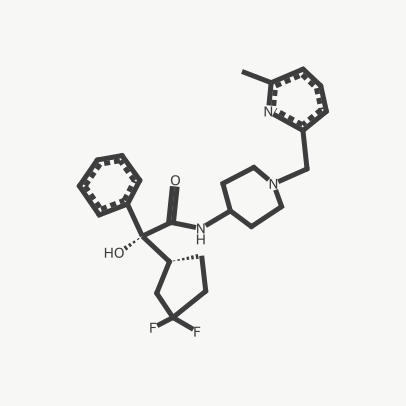 Cc1cccc(CN2CCC(NC(=O)[C@](O)(c3ccccc3)[C@@H]3CCC(F)(F)C3)CC2)n1